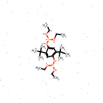 CCOP(OCC)Oc1cc(C(C)(C)C)c(OP(OCC)OCC)cc1C(C)(C)C